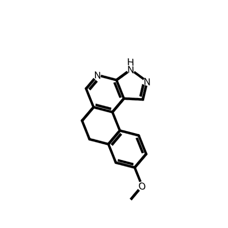 COc1ccc2c(c1)CCc1cnc3[nH]ncc3c1-2